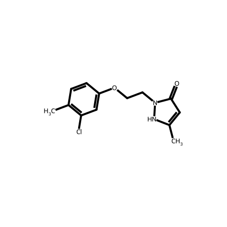 Cc1cc(=O)n(CCOc2ccc(C)c(Cl)c2)[nH]1